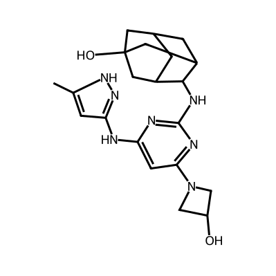 Cc1cc(Nc2cc(N3CC(O)C3)nc(NC3C4CC5CC3CC(O)(C5)C4)n2)n[nH]1